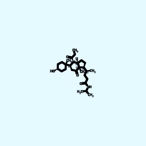 CCC(=O)[C@@H]1[C@H]2CC[C@@H]([C@@H](C)CCC(=O)NC(C)C)[C@]2(C)C(=O)C[C@H]1[C@]1(C)CC[C@H](O)CC1